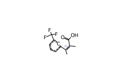 C/C(C(=O)O)=C(\C)c1cccc(C(F)(F)F)c1